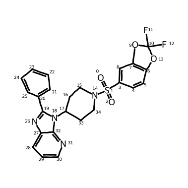 O=S(=O)(c1ccc2c(c1)OC(F)(F)O2)N1CCC(n2c(-c3ccccc3)nc3cccnc32)CC1